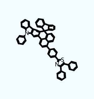 c1ccc(-c2nc(-c3ccc(-c4ccc5c6c(cccc46)C4(c6ccccc6-c6ccccc64)c4cc6c7ccccc7n(-c7ccccc7)c6cc4-5)cc3)sc2-c2ccccc2)cc1